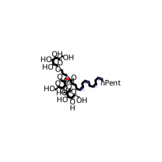 CCCCC/C=C\C/C=C\C/C=C\C/C=C\CCCC(=O)OCC(CO[C@@H]1O[C@H](CO)[C@@H](O)[C@H](O)[C@H]1O)O[C@@H]1O[C@H](CO)[C@@H](O)[C@H](O[C@@H]2O[C@H](CO)[C@@H](O)[C@H](O)[C@H]2O)[C@H]1O